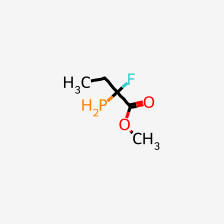 CCC(F)(P)C(=O)OC